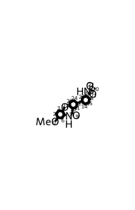 COc1ccc2c(c1)NC(=O)c1cc(-c3cccc(NS(C)(=O)=O)c3)ccc1O2